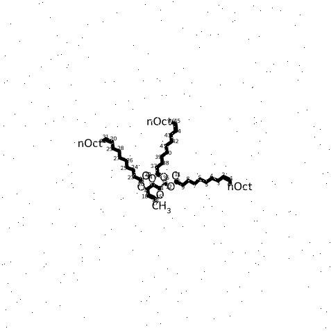 CCCCCCCC/C=C\CCCCCCCC(=O)OC[C@H]1OC(C)=C[C@@H](OC(=O)CCCCCCC/C=C\CCCCCCCC)[C@@H]1OC(=O)CCCCCCC/C=C\CCCCCCCC